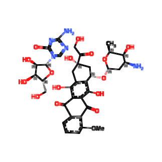 COc1cccc2c1C(=O)c1c(O)c3c(c(O)c1C2=O)C[C@@](O)(C(=O)CO)C[C@@H]3O[C@H]1C[C@H](N)[C@H](O)[C@H](C)O1.Nc1ncn([C@@H]2O[C@H](CO)[C@@H](O)[C@H]2O)c(=O)n1